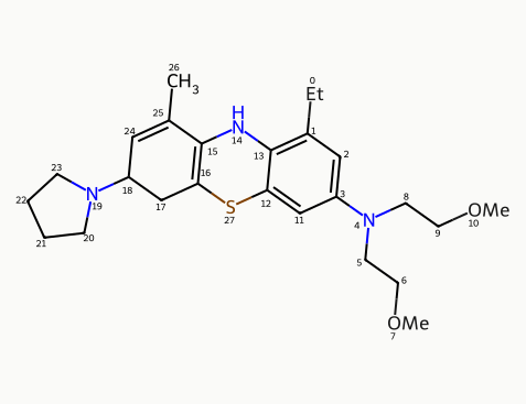 CCc1cc(N(CCOC)CCOC)cc2c1NC1=C(CC(N3CCCC3)C=C1C)S2